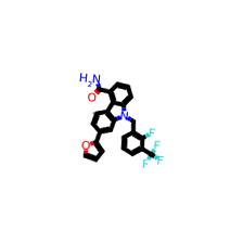 NC(=O)c1cccc2c1c1[c]cc(-c3ccco3)cc1n2Cc1cccc(C(F)(F)F)c1F